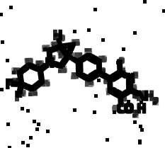 Cc1nc(N)c(C(=O)O)cc1-c1ccc([C@]23C[C@H]2CN(C2CCC(F)(F)CC2)C3)cc1